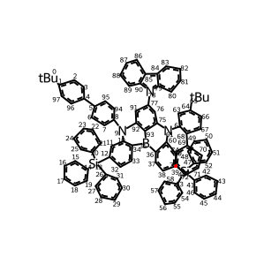 CC(C)(C)c1ccc(-c2ccc(N3c4cc([Si](c5ccccc5)(c5ccccc5)c5ccccc5)ccc4B4c5ccc([Si](c6ccccc6)(c6ccccc6)c6ccccc6)cc5N(c5cc(C(C)(C)C)ccc5-c5ccccc5)c5cc(-n6c7ccccc7c7ccccc76)cc3c54)cc2)cc1